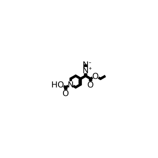 CCOC(=O)C(=[N+]=[N-])C1=CCN(C(=O)O)CC1